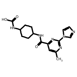 Cc1cc(C(=O)NC2CCC(NC(=O)O)CC2)nc(-n2ccnc2)n1